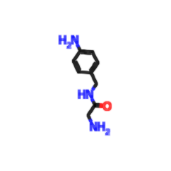 NCC(=O)NCc1ccc(N)cc1